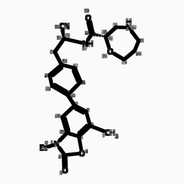 CCn1c(=O)oc2c(C)cc(-c3ccc(C[C@@H](C#N)NC(=O)[C@@H]4CNCCCO4)cc3)cc21